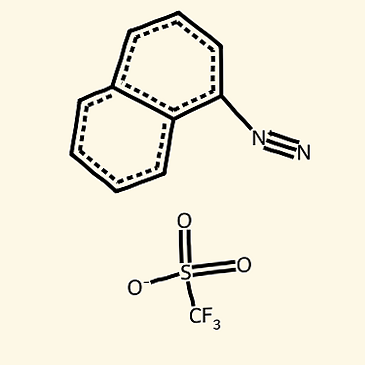 N#[N+]c1cccc2ccccc12.O=S(=O)([O-])C(F)(F)F